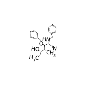 CC[C@H](O)[C@@H](C)[C@@H](OCc1ccccc1)C(C#N)NCc1ccccc1